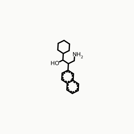 NCC(c1ccc2ccccc2c1)C(O)C1CCCCC1